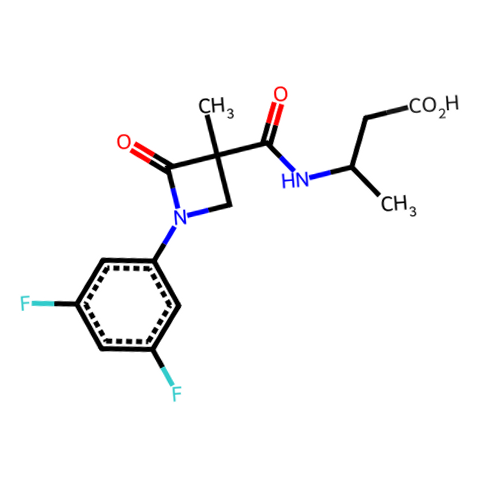 CC(CC(=O)O)NC(=O)C1(C)CN(c2cc(F)cc(F)c2)C1=O